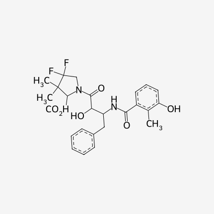 Cc1c(O)cccc1C(=O)NC(Cc1ccccc1)C(O)C(=O)N1CC(F)(F)C(C)(C)C1C(=O)O